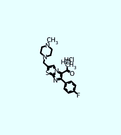 CC(=O)c1c(-c2ccc(F)cc2)nc2sc(CN3CCN(C)CC3)cn12.Cl.Cl